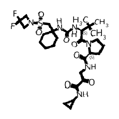 CC(C)(C)[C@H](NC(=O)NC1(CS(=O)(=O)N2CC(F)(F)C2)CCCCC1)C(=O)N1CCC[C@H]1C(=O)NCC(=O)C(=O)NC1CC1